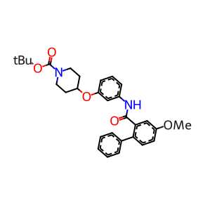 COc1ccc(-c2ccccc2)c(C(=O)Nc2cccc(OC3CCN(C(=O)OC(C)(C)C)CC3)c2)c1